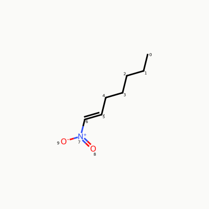 CCCCC/[C]=C/[N+](=O)[O-]